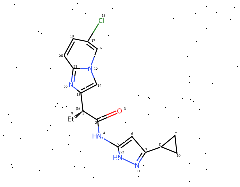 CC[C@H](C(=O)Nc1cc(C2CC2)n[nH]1)c1cn2cc(Cl)ccc2n1